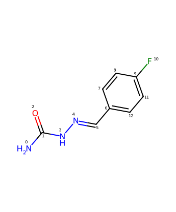 NC(=O)NN=Cc1ccc(F)cc1